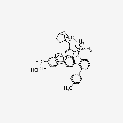 CC[CH2][Zr]([CH3])(=[SiH2])([CH]1C(CC23CCC(CC2)C3)=Cc2c(-c3ccc(C)cc3)cccc21)[CH]1C(CC23CCC(CC2)C3)=Cc2c(-c3ccc(C)cc3)cccc21.Cl.Cl